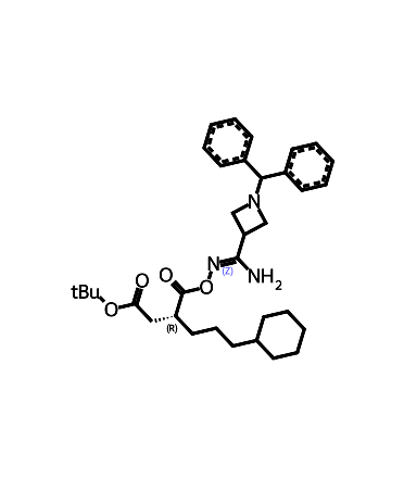 CC(C)(C)OC(=O)C[C@@H](CCCC1CCCCC1)C(=O)O/N=C(\N)C1CN(C(c2ccccc2)c2ccccc2)C1